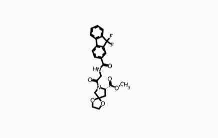 COC(=O)[C@@H]1CC2(CN1C(=O)CNC(=O)c1ccc3c(c1)C(F)(F)c1ccccc1-3)OCCO2